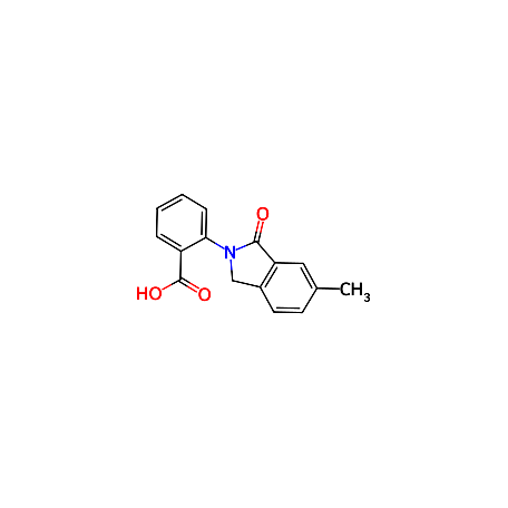 Cc1ccc2c(c1)C(=O)N(c1ccccc1C(=O)O)C2